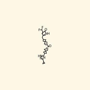 O=C(N1CC2(CC(Cc3c[nH]c(=O)c(C(F)F)c3)C2)C1)N1CC2(CC(c3nc(C4CC4)n[nH]3)C2)C1